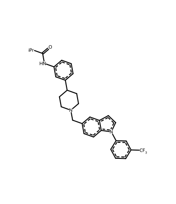 CC(C)C(=O)Nc1cccc(C2CCN(Cc3ccc4c(ccn4-c4cccc(C(F)(F)F)c4)c3)CC2)c1